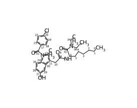 CCCCCCC(NC(=O)Cc1c(C)n(C(=O)c2ccc(Cl)cc2)c2ccc(O)cc12)C(=O)N(CC)CC